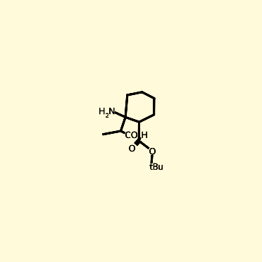 CC(C(=O)O)C1(N)CCCCC1C(=O)OC(C)(C)C